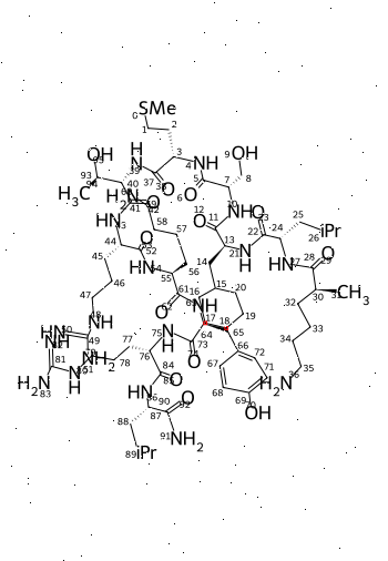 CSCC[C@H](NC(=O)[C@H](CO)NC(=O)[C@H](CC1CCCCC1)NC(=O)[C@H](CC(C)C)NC(=O)[C@@H](C)CCCCN)C(=O)N[C@H](C(=O)N[C@@H](CCCNC(=N)N)C(=O)N[C@@H](CCCCN)C(=O)N[C@@H](Cc1ccc(O)cc1)C(=O)N[C@@H](CCCNC(=N)N)C(=O)N[C@@H](CC(C)C)C(N)=O)[C@@H](C)O